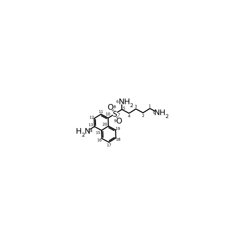 NCCCCC(N)S(=O)(=O)c1ccc(N)c2ccccc12